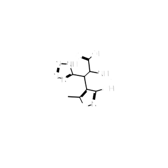 Cc1onc(O)c1C(c1nnn[nH]1)C(N)C(=O)O